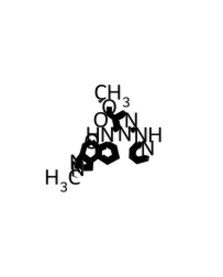 CCOC(=O)c1cnc(Nc2ccccn2)nc1Nc1cccc2c1OCc1nn(C)cc1-2